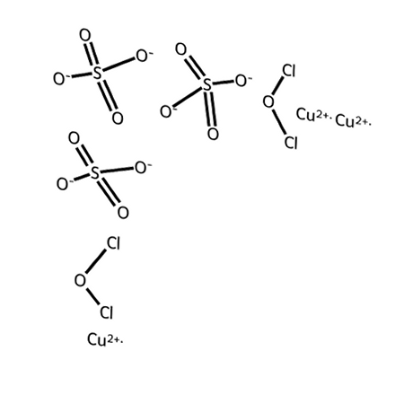 ClOCl.ClOCl.O=S(=O)([O-])[O-].O=S(=O)([O-])[O-].O=S(=O)([O-])[O-].[Cu+2].[Cu+2].[Cu+2]